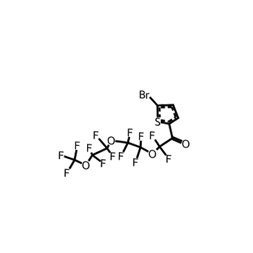 O=C(c1ccc(Br)s1)C(F)(F)OC(F)(F)C(F)(F)OC(F)(F)C(F)(F)OC(F)(F)F